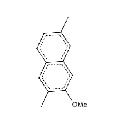 COc1cc2cc(C)ccc2cc1C